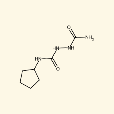 NC(=O)NNC(=O)NC1CCCC1